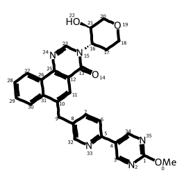 COc1ncc(-c2ccc(Cc3cc4c(=O)n([C@H]5CCOC[C@@H]5O)cnc4c4ccccc34)cn2)cn1